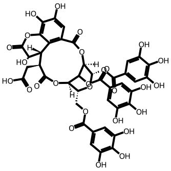 O=C(O)C[C@@H]1C(=O)O[C@H]2C(OC(=O)c3cc(O)c(O)c(O)c3)[C@@H](OC(=O)c3cc(O)c(O)c4c3[C@H]1[C@H](O)C(=O)O4)[C@H](OC(=O)c1cc(O)c(O)c(O)c1)O[C@@H]2COC(=O)c1cc(O)c(O)c(O)c1